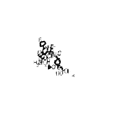 CC[C@]1(C(N)=O)COc2c1cc([C@@](O)(CNC(=O)c1ccc(OC[C@@H](C)O)c(OC3CC3)c1)C(F)(F)F)nc2-c1ccc(F)cc1